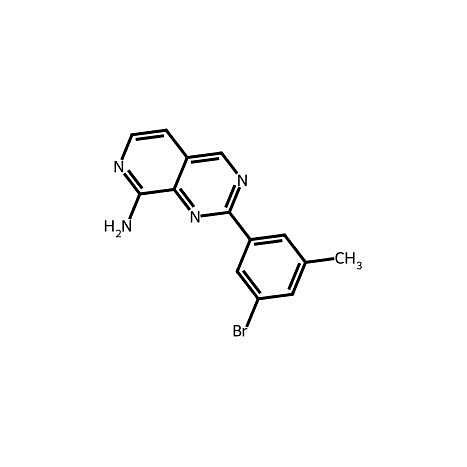 Cc1cc(Br)cc(-c2ncc3ccnc(N)c3n2)c1